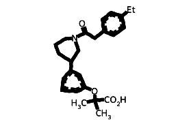 CCc1ccc(CC(=O)N2CCCC(c3cccc(OC(C)(C)C(=O)O)c3)C2)cc1